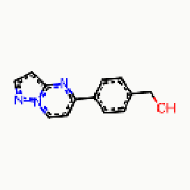 OCc1ccc(-c2ccn3nccc3n2)cc1